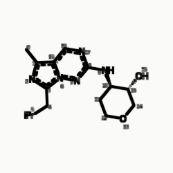 Cc1nc(CC(C)C)n2nc(N[C@@H]3CCOC[C@H]3O)ncc12